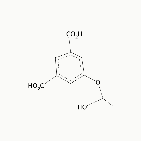 CC(O)Oc1cc(C(=O)O)cc(C(=O)O)c1